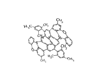 Cc1cc(C)c(-c2cc3c4c(cc5c(-c6c(C)cc(C)cc6C)cc6c7c(cc2c4c57)B2c4ccccc4Oc4cc(C)cc-6c42)B2c4ccccc4Oc4cc(C)cc-3c42)c(C)c1